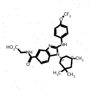 C[C@@H]1C[C@@H](n2c(Nc3ccc(OC(F)(F)F)cc3)nc3cc(C(=O)NCC(=O)O)ccc32)CC(C)(C)C1